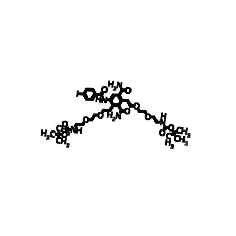 CC(C)(C)OC(=O)NCCOCCOCCc1c(NC(=O)c2ccc(I)cc2)cc(C(N)=O)c(CCOCCOCCNC(=O)OC(C)(C)C)c1C(N)=O